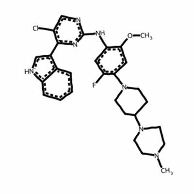 COc1cc(N2CCC(N3CCN(C)CC3)CC2)c(F)cc1Nc1ncc(Cl)c(-c2c[nH]c3ccccc23)n1